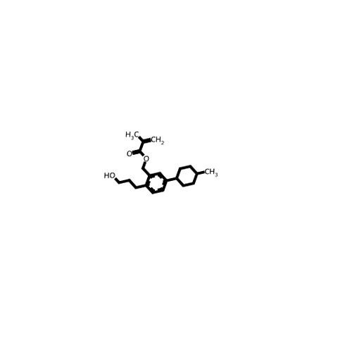 C=C(C)C(=O)OCc1cc(C2CCC(C)CC2)ccc1CCCO